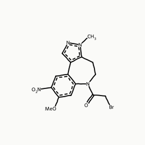 COc1cc2c(cc1[N+](=O)[O-])-c1cnn(C)c1CCN2C(=O)CBr